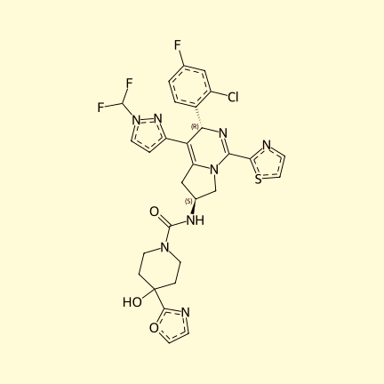 O=C(N[C@H]1CC2=C(c3ccn(C(F)F)n3)[C@H](c3ccc(F)cc3Cl)N=C(c3nccs3)N2C1)N1CCC(O)(c2ncco2)CC1